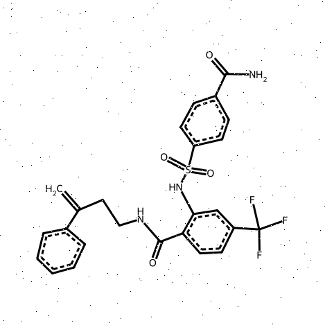 C=C(CCNC(=O)c1ccc(C(F)(F)F)cc1NS(=O)(=O)c1ccc(C(N)=O)cc1)c1ccccc1